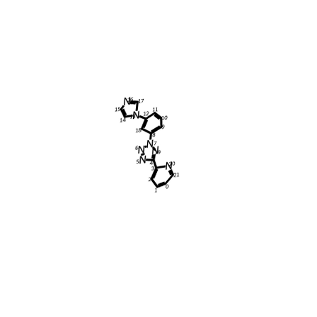 c1ccc(-c2nnn(-c3cccc(-n4ccnc4)c3)n2)nc1